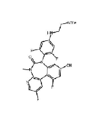 CNCCNc1cc(F)c(N2C(=O)N(C)c3ncc(F)cc3-c3c(F)cc(C#N)cc32)c(F)c1